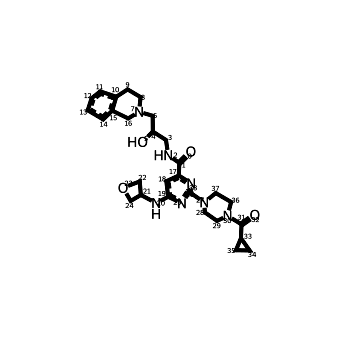 O=C(NCC(O)CN1CCc2ccccc2C1)c1cc(NC2COC2)nc(N2CCN(C(=O)C3CC3)CC2)n1